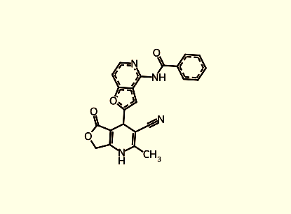 CC1=C(C#N)C(c2cc3c(NC(=O)c4ccccc4)nccc3o2)C2=C(COC2=O)N1